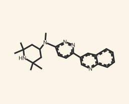 CN(c1ccc(-c2cnc3ccccc3c2)nn1)C1CC(C)(C)NC(C)(C)C1